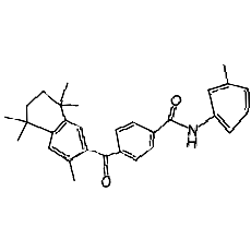 Cc1cccc(NC(=O)c2ccc(C(=O)c3cc4c(cc3C)C(C)(C)CCC4(C)C)cc2)c1